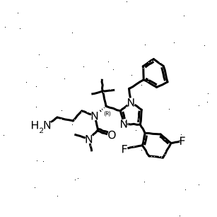 CN(C)C(=O)N(CCCN)[C@@H](c1nc(C2=C(F)CCC(F)=C2)cn1Cc1ccccc1)C(C)(C)C